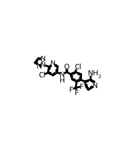 Nc1cnccc1-c1cc(Cl)c(C(=O)Nc2cnc(-n3nccn3)c(Cl)c2)cc1C(F)(F)F